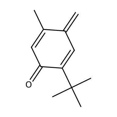 C=C1C=C(C(C)(C)C)C(=O)C=C1C